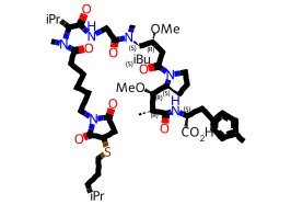 CC[C@H](C)[C@@H]([C@@H](CC(=O)N1CCC[C@H]1[C@H](OC)[C@@H](C)C(=O)N[C@@H](Cc1ccc(C)cc1)C(=O)O)OC)N(C)C(=O)CNC(=O)C(C(C)C)N(C)C(=O)CCCCCN1C(=O)CC(SCCCC(C)C)C1=O